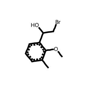 COc1c(C)cccc1C(O)CBr